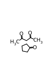 CC(=O)CC(C)=O.O=C1CCCC1